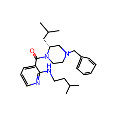 CC(C)CCNc1ncccc1C(=O)N1CCN(Cc2ccccc2)C[C@H]1CC(C)C